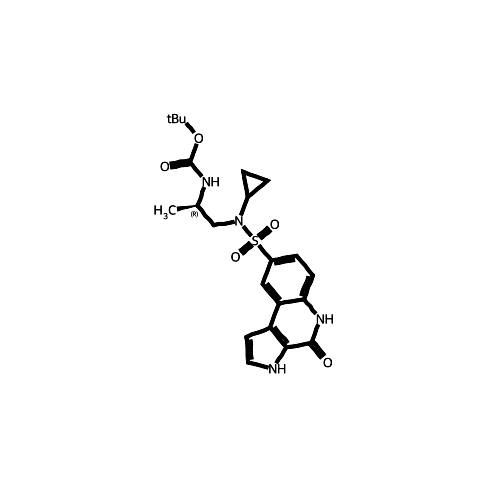 C[C@H](CN(C1CC1)S(=O)(=O)c1ccc2[nH]c(=O)c3[nH]ccc3c2c1)NC(=O)OC(C)(C)C